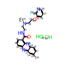 CCN(CCNC(=O)c1cccc2nc3cc(I)ccc3nc12)CCOc1cccnc1F.Cl.Cl